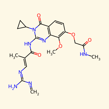 C=N/C(N)=N\C=C(/C)C(=O)Nc1nc2c(OC)c(OCC(=O)NC)ccc2c(=O)n1C1CC1